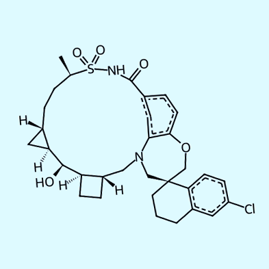 C[C@@H]1CC[C@H]2C[C@@H]2[C@H](O)[C@@H]2CC[C@H]2CN2C[C@@]3(CCCc4cc(Cl)ccc43)COc3ccc(cc32)C(=O)NS1(=O)=O